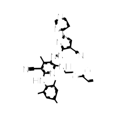 C=CC(=O)OCCNc1nc(Nc2c(C)cc(C)cc2C)c(C#N)c(C)c1N=Nc1nn(-c2ccncn2)cc1C#N